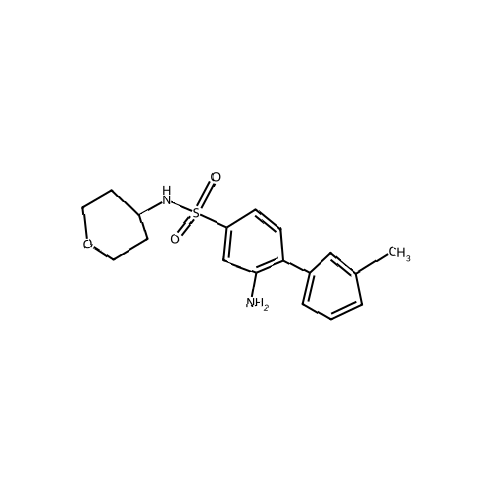 Cc1cccc(-c2ccc(S(=O)(=O)NC3CCOCC3)cc2N)c1